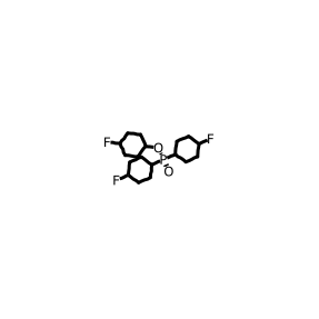 O=P(OC1CCC(F)CC1)(C1CCC(F)CC1)C1CCC(F)CC1